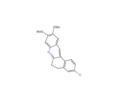 COc1cc2cc3c(nc2cc1OC)CCc1cc(Cl)ccc1-3